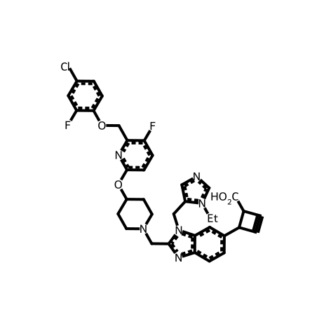 CCn1cncc1Cn1c(CN2CCC(Oc3ccc(F)c(COc4ccc(Cl)cc4F)n3)CC2)nc2ccc(C3C#CC3C(=O)O)cc21